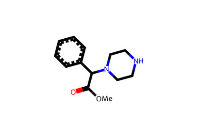 COC(=O)C(c1ccccc1)N1CCNCC1